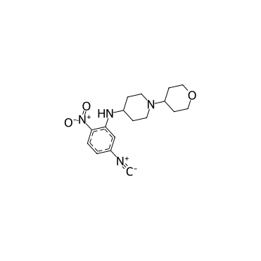 [C-]#[N+]c1ccc([N+](=O)[O-])c(NC2CCN(C3CCOCC3)CC2)c1